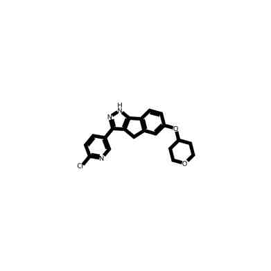 Clc1ccc(-c2n[nH]c3c2Cc2cc(OC4CCOCC4)ccc2-3)cn1